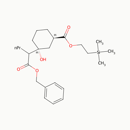 CCCC(C(=O)OCc1ccccc1)[C@@]1(O)CCC[C@@H](C(=O)OCC[Si](C)(C)C)C1